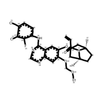 C=CC(=O)N1[C@@H]2CC[C@H]1C[C@H](Oc1cc3c(Nc4ccc(Cl)c(Cl)c4F)ncnc3cc1OCOCC)C2